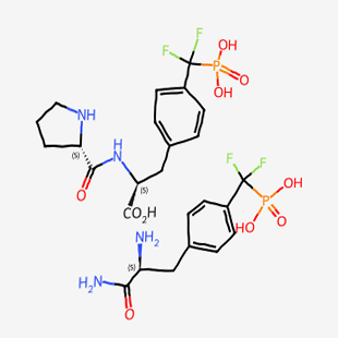 NC(=O)[C@@H](N)Cc1ccc(C(F)(F)P(=O)(O)O)cc1.O=C(O)[C@H](Cc1ccc(C(F)(F)P(=O)(O)O)cc1)NC(=O)[C@@H]1CCCN1